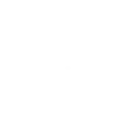 CCCC[P+](c1ccccc1)(c1ccccc1)c1ccccc1.F[P-](F)(F)(F)(F)F